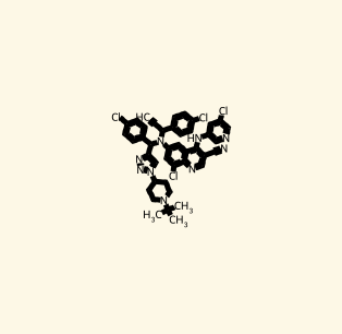 C#CC(c1ccc(Cl)cc1)N(c1cc(Cl)c2ncc(C#N)c(Nc3cncc(Cl)c3)c2c1)C(c1ccc(Cl)cc1)c1cn(C2CCN(C(C)(C)C)CC2)nn1